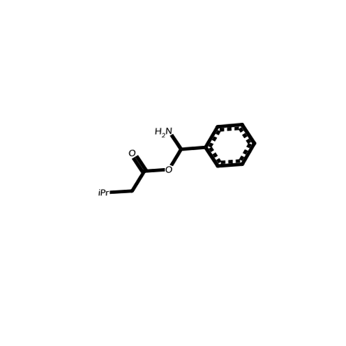 CC(C)CC(=O)OC(N)c1ccccc1